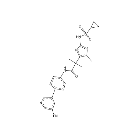 Cc1sc(NS(=O)(=O)C2CC2)nc1C(C)(C)C(=O)Nc1ccc(-c2cncc(C#N)c2)cc1